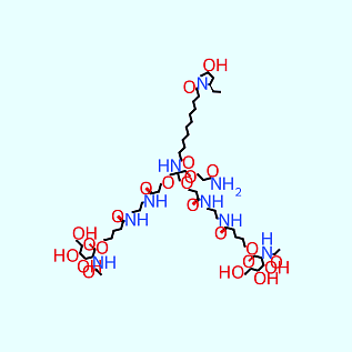 CC[C@@H]1C[C@@H](O)CN1C(=O)CCCCCCCCCCC(=O)NC(COCCC(N)=O)(COCCC(=O)NCCCNC(=O)CCCCOC1OC(CO)C(O)C(O)C1NC(C)=O)COCCC(=O)NCCCNC(=O)CCCCOC1OC(CO)C(O)C(O)C1NC(C)=O